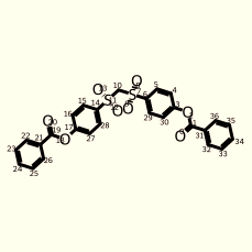 O=C(Oc1ccc(S(=O)(=O)CS(=O)(=O)c2ccc(OC(=O)c3ccccc3)cc2)cc1)c1ccccc1